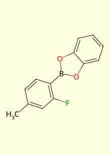 Cc1ccc(B2Oc3ccccc3O2)c(F)c1